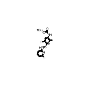 Cc1nc(SNc2cccc(F)n2)c(F)cc1NC(=O)OC(C)(C)C